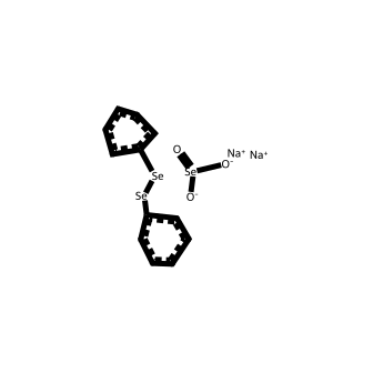 O=[Se]([O-])[O-].[Na+].[Na+].c1ccc([Se][Se]c2ccccc2)cc1